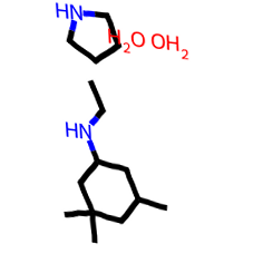 C1CCNC1.CCNC1CC(C)CC(C)(C)C1.O.O